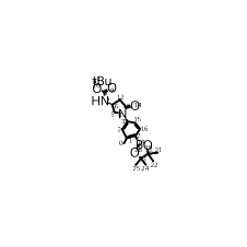 Cc1cc(N2C[C@@H](NC(=O)OC(C)(C)C)CC2=O)ccc1B1OC(C)(C)C(C)(C)O1